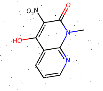 Cn1c(=O)c([N+](=O)[O-])c(O)c2cccnc21